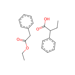 CCC(C(=O)O)c1ccccc1.CCOC(=O)Cc1ccccc1